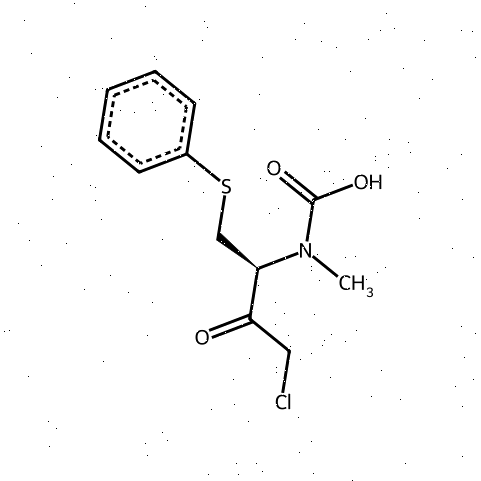 CN(C(=O)O)[C@H](CSc1ccccc1)C(=O)CCl